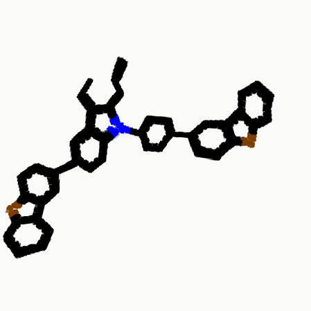 C=C/C=c1\c(=C/C)c2cc(-c3ccc4sc5ccccc5c4c3)ccc2n1-c1ccc(-c2ccc3sc4ccccc4c3c2)cc1